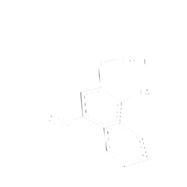 CCCC(C)Oc1cc(OC(C)=O)c2ccccc2c1OC(C)=O